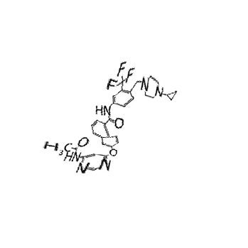 CC(=O)Nc1cc(Oc2ccc3c(C(=O)Nc4ccc(CN5CCN(C6CC6)CC5)c(C(F)(F)F)c4)cccc3c2)ncn1